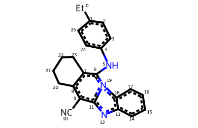 CCc1ccc(Nc2c3c(c(C#N)c4nc5ccccc5n24)CCCC3)cc1